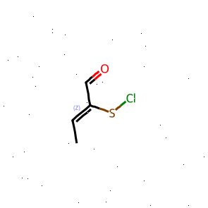 C/C=C(/C=O)SCl